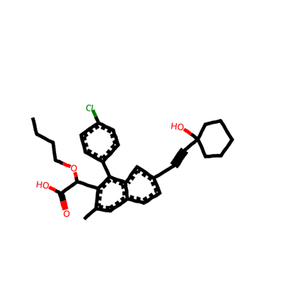 CCCCOC(C(=O)O)c1c(C)cc2ccc(C#CC3(O)CCCCC3)cc2c1-c1ccc(Cl)cc1